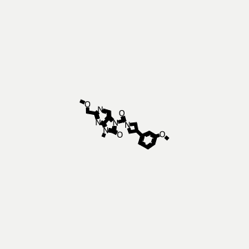 COCc1ncc2c(n1)n(C)c(=O)n2C(=O)N1CC(c2cccc(OC)c2)C1